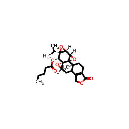 CCCCC(=O)O[C@@H]1[C@@]2(C(C)C)O[C@H]2[C@@H]2O[C@]23[C@]12O[C@H]2CC1C2=C(CC[C@@]13C)C(=O)OC2